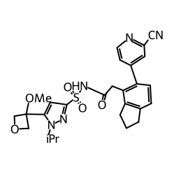 COC1(c2cc(S(=O)(=O)NC(=O)Cc3c(-c4ccnc(C#N)c4)ccc4c3CCC4)nn2C(C)C)COC1